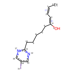 CC/C=C\C=C(\O)CCCCCc1ncc(I)cn1